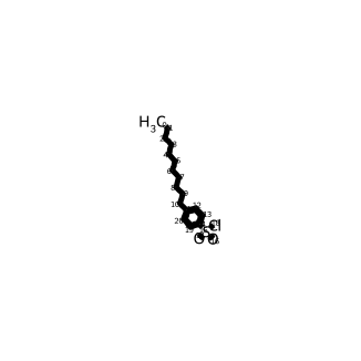 CCCCCCCCCCCc1ccc(S(=O)(=O)Cl)cc1